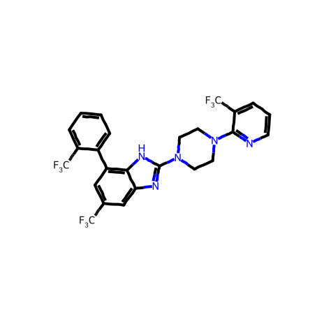 FC(F)(F)c1cc(-c2ccccc2C(F)(F)F)c2[nH]c(N3CCN(c4ncccc4C(F)(F)F)CC3)nc2c1